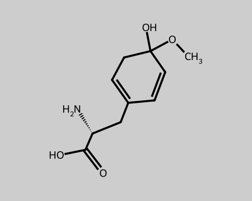 COC1(O)C=CC(C[C@@H](N)C(=O)O)=CC1